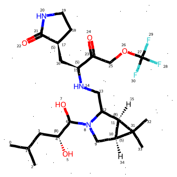 CC(C)C[C@@H](O)C(O)N1C[C@H]2[C@@H](C1CN[C@@H](C[C@@H]1CCNC1=O)C(=O)COC(F)(F)F)C2(C)C